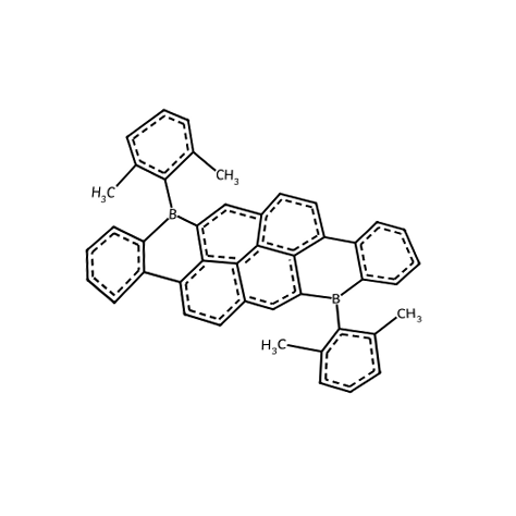 Cc1cccc(C)c1B1c2ccccc2-c2ccc3cc4c5c(ccc6cc1c2c3c65)-c1ccccc1B4c1c(C)cccc1C